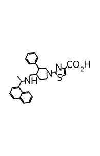 C[C@@H](NCC1CCN(c2nc(C(=O)O)cs2)CC1c1ccccc1)c1cccc2ccccc12